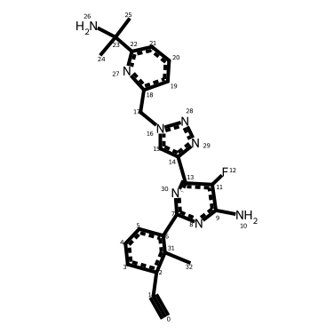 C#Cc1cccc(-c2nc(N)c(F)c(-c3cn(Cc4cccc(C(C)(C)N)n4)nn3)n2)c1C